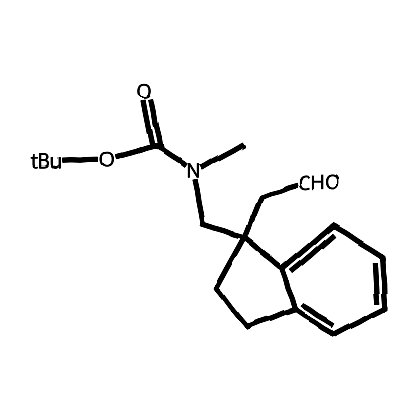 CN(CC1(CC=O)CCc2ccccc21)C(=O)OC(C)(C)C